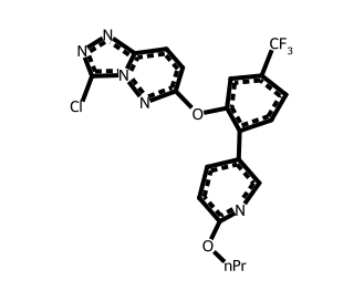 CCCOc1ccc(-c2ccc(C(F)(F)F)cc2Oc2ccc3nnc(Cl)n3n2)cn1